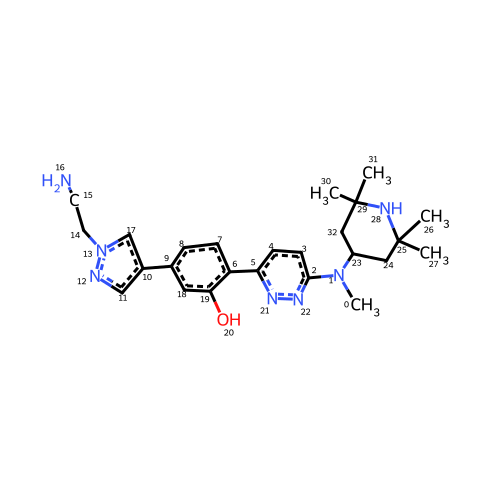 CN(c1ccc(-c2ccc(-c3cnn(CCN)c3)cc2O)nn1)C1CC(C)(C)NC(C)(C)C1